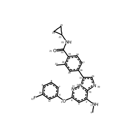 CNc1cc(Oc2cccc(F)c2)nn2c(-c3ccc(C(=O)NC4CC4)c(C)c3)cnc12